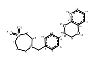 O=S1(=O)CCCN(Cc2ccc([C@H]3COc4cccnc4O3)cc2)CC1